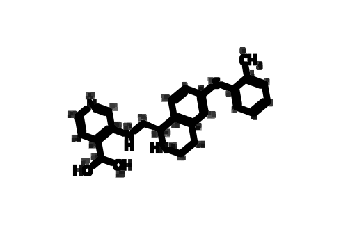 Cc1ccccc1Sc1ccc2c(c1)CCN[C@H]2CNc1cnccc1C(O)O